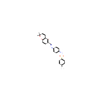 CCc1ccc(S(=O)(=O)Nc2ccc(N=Cc3ccc4c(c3O)C=CC(C)(C)O4)cc2)cc1